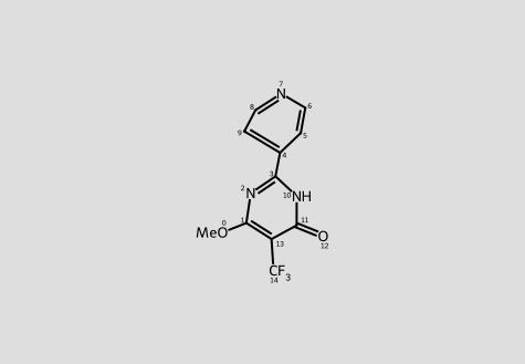 COc1nc(-c2ccncc2)[nH]c(=O)c1C(F)(F)F